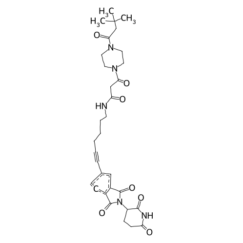 CC(C)(C)CC(=O)N1CCN(C(=O)CC(=O)NCCCCC#Cc2ccc3c(c2)C(=O)N(C2CCC(=O)NC2=O)C3=O)CC1